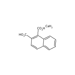 O=C(O)c1ccc2ccccc2c1C(=O)O.[CaH2]